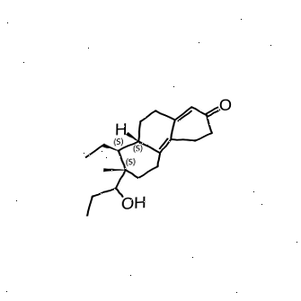 CCC(O)[C@@]1(C)CCC2=C3CCC(=O)C=C3CC[C@H]2[C@@H]1CC